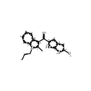 CCCn1c(C)c(C(=O)c2cc3cc(Cl)sc3[nH]2)c2ccccc21